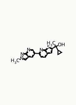 Cn1cc2cc(-c3ccc4cc([C@](C)(O)C5CC5)sc4n3)cnc2n1